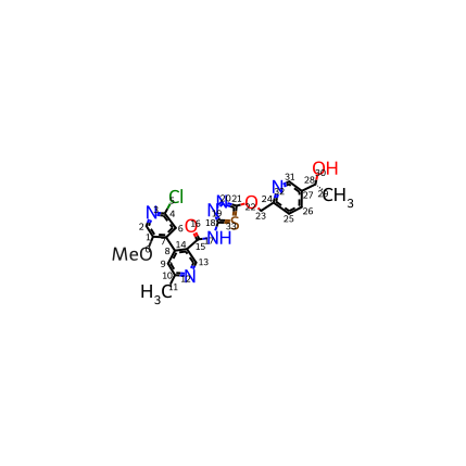 COc1cnc(Cl)cc1-c1cc(C)ncc1C(=O)Nc1nnc(OCc2ccc([C@@H](C)O)cn2)s1